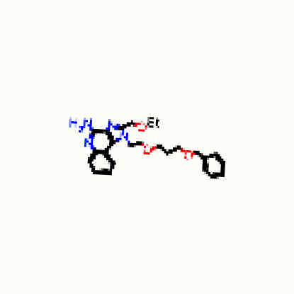 CCOCc1nc2c(N)nc3ccccc3c2n1CCOCCCOCc1ccccc1